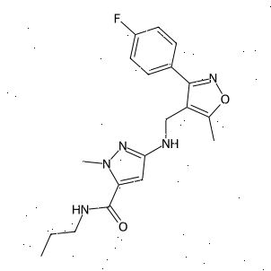 CCCNC(=O)c1cc(NCc2c(-c3ccc(F)cc3)noc2C)nn1C